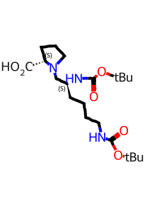 CC(C)(C)OC(=O)NCCCC[C@@H](CN1CCC[C@H]1C(=O)O)NC(=O)OC(C)(C)C